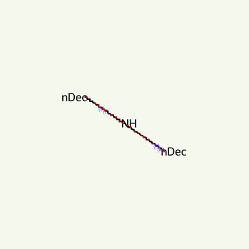 CCCCCCCCCCC/C=C/C/C=C/CCCCCCCCCCCCCCCCCCCCNCCCCCCCCCCC/C=C/C/C=C/CCCCCCCCCCCCCCCCCCCC